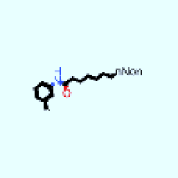 [CH2]c1cccc(NC(=O)CCCCCCCCCCCCCCC)c1